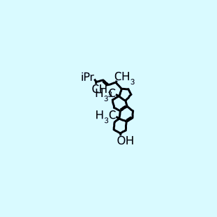 CC(C)C(C)/C=C/C(C)C1CCC2C3=C(CCC21C)C1(C)CCC(O)CC1=CC3